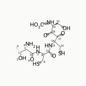 C[C@@H](O)[C@H](N)C(=O)NC(CS)C(=O)NC(CS)C(=O)C(=O)[C@H](CO)NC(=O)O